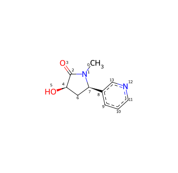 CN1C(=O)[C@H](O)C[C@@H]1c1cccnc1